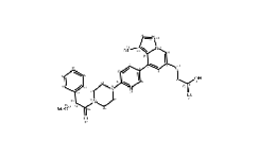 CC[C@H](O)COc1cc(-c2ccc(N3CCN(C(=O)[C@H](OC)c4ccccc4)CC3)nc2)c2c(C#N)cnn2c1